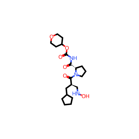 O=C(NC(=O)[C@@H]1CCCN1C(=O)[C@@H](CNO)CC1CCCC1)OC1CCOCC1